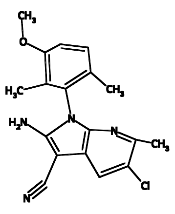 COc1ccc(C)c(-n2c(N)c(C#N)c3cc(Cl)c(C)nc32)c1C